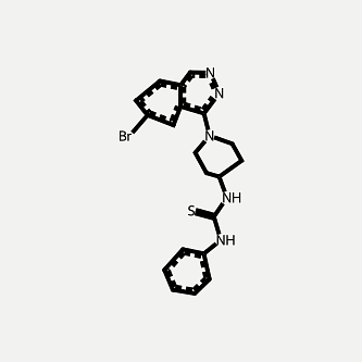 S=C(Nc1ccccc1)NC1CCN(c2nncc3ccc(Br)cc23)CC1